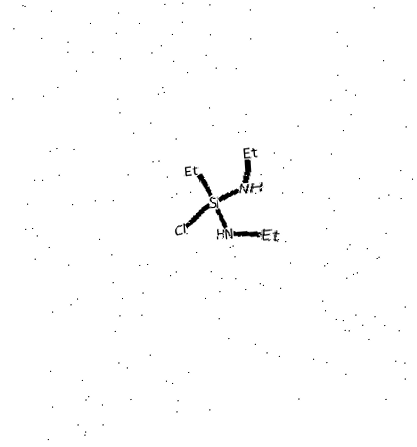 CCN[Si](Cl)(CC)NCC